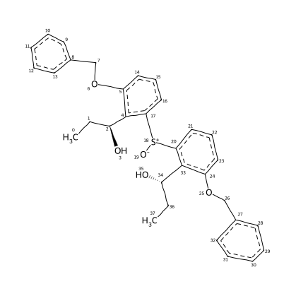 CC[C@H](O)c1c(OCc2ccccc2)cccc1[S+]([O-])c1cccc(OCc2ccccc2)c1[C@@H](O)CC